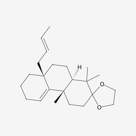 C/C=C/C[C@]12CCCC=C1[C@@]1(C)CCC3(OCCO3)C(C)(C)[C@@H]1CC2